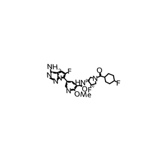 COc1ncc(-c2c(F)cc3c(N)ncnn23)cc1C(=O)N[C@@H]1CN(C(=O)C2CCC(F)CC2)C[C@@H]1F